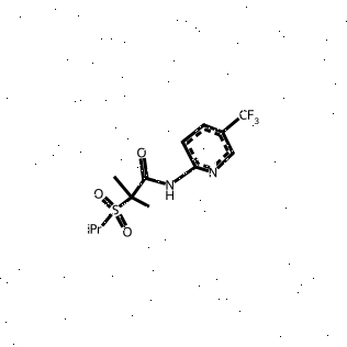 CC(C)S(=O)(=O)C(C)(C)C(=O)Nc1ccc(C(F)(F)F)cn1